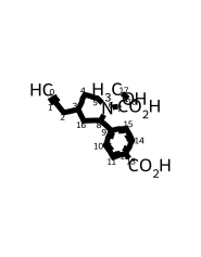 C#CCC1CCN(C(=O)O)C(c2ccc(C(=O)O)cc2)C1.CO